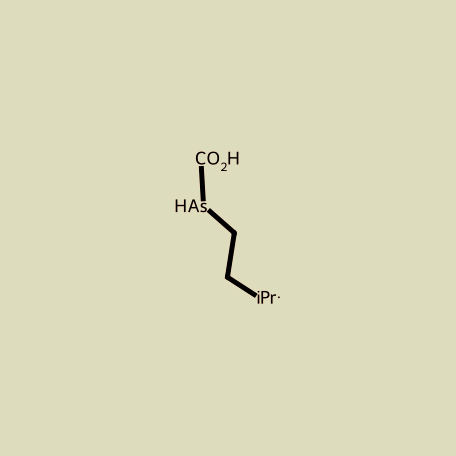 C[C](C)CC[AsH]C(=O)O